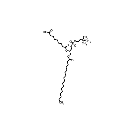 CCCCCCCCCCCCCCCCC(=O)OC[C@H](COP(=O)([O-])OCC[N+](C)(C)C)OC(=O)CCCCCCCC(=O)O